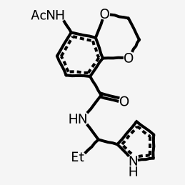 CCC(NC(=O)c1ccc(NC(C)=O)c2c1OCCO2)c1ccc[nH]1